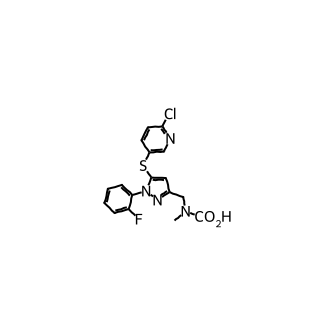 CN(Cc1cc(Sc2ccc(Cl)nc2)n(-c2ccccc2F)n1)C(=O)O